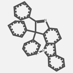 Cn1c2ccccc2c2ccc3c(c21)C(c1ccccc1)(c1ccccc1)C(c1ccccc1)=N3